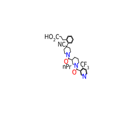 CCC[C@@H]1C(C(=O)N2CCC(C#N)(c3ccccc3CCC(=O)O)CC2)CCCN1C(=O)c1cnccc1C(F)(F)F